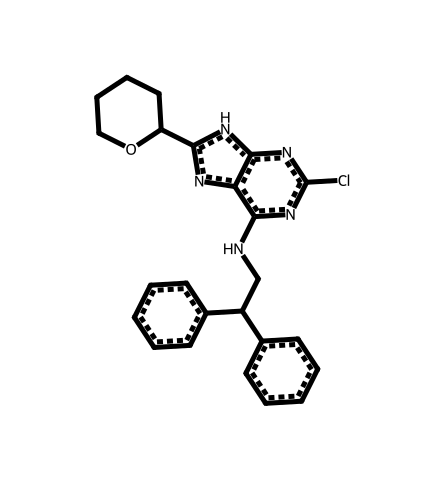 Clc1nc(NCC(c2ccccc2)c2ccccc2)c2nc(C3CCCCO3)[nH]c2n1